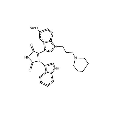 COc1ccc2c(c1)c(C1=C(c3c[nH]c4ccccc34)C(=O)NC1=O)cn2CCCN1CCCCC1